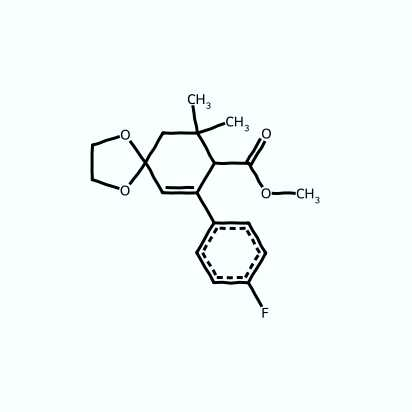 COC(=O)C1C(c2ccc(F)cc2)=CC2(CC1(C)C)OCCO2